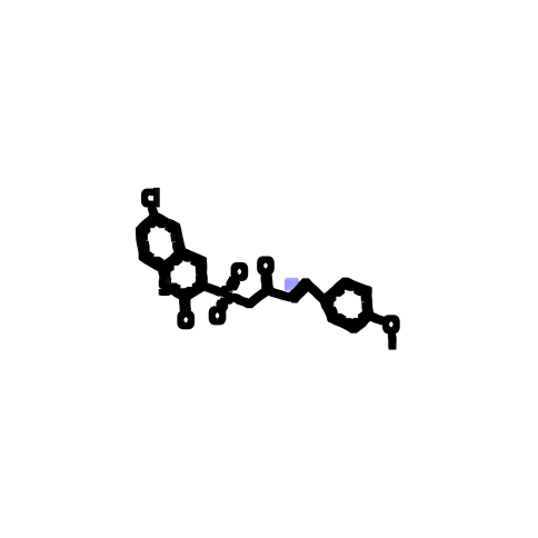 COc1ccc(/C=C/C(=O)CS(=O)(=O)c2cc3cc(Cl)ccc3sc2=O)cc1